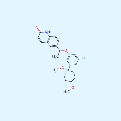 CO[C@H]1CC[C@](OC)(c2cc(F)cc(OC(C)c3ccc4[nH]c(=O)ccc4c3)c2)CC1